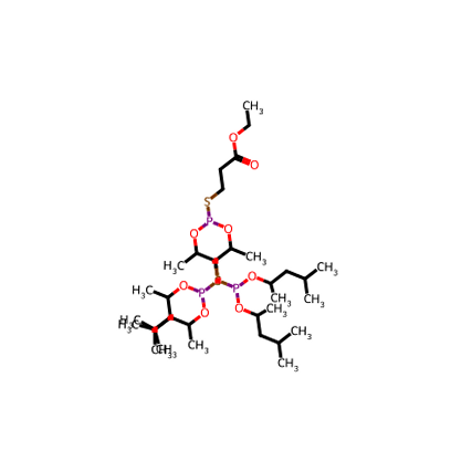 CCOC(=O)CCSP(OC(C)CSP(OC(C)CC(C)C)OC(C)CC(C)C)OC(C)CSP(OC(C)CC(C)C)OC(C)CC(C)C